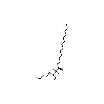 CCCCCCCCCCCCSC(=S)C(C)(C)C(=O)OCCCC